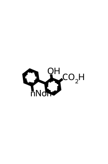 CCCCCCCCCc1ccccc1-c1cccc(C(=O)O)c1O